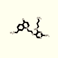 CCCCNc1nc(N)ncc1OCCn1ccc(=O)c2ccc(CC)cc21